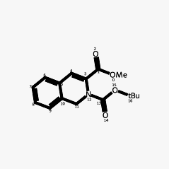 COC(=O)C1=Cc2ccccc2CN1C(=O)OC(C)(C)C